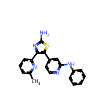 Cc1cccc(-c2nc(N)sc2-c2ccnc(Nc3ccccc3)c2)n1